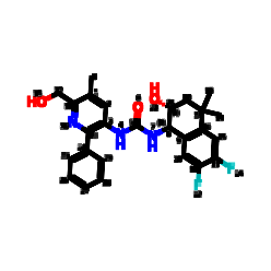 Cc1cc(NC(=O)N[C@@H]2c3cc(F)c(F)cc3C(C)(C)C[C@H]2O)c(-c2ccccc2)nc1CO